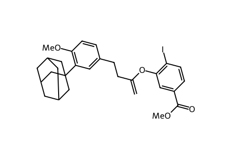 C=C(CCc1ccc(OC)c(C23CC4CC(CC(C4)C2)C3)c1)Oc1cc(C(=O)OC)ccc1I